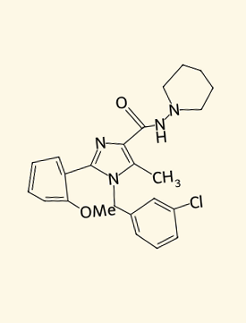 COc1ccccc1-c1nc(C(=O)NN2CCCCC2)c(C)n1Cc1cccc(Cl)c1